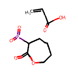 C=CC(=O)O.O=C1OCCCCC1P(=O)=O